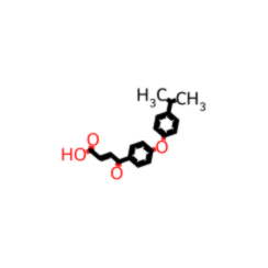 CC(C)c1ccc(Oc2ccc(C(=O)C=CC(=O)O)cc2)cc1